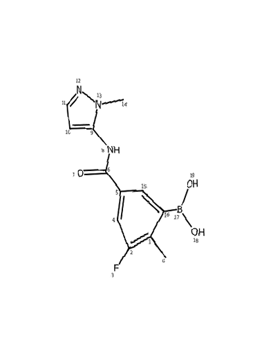 Cc1c(F)cc(C(=O)Nc2ccnn2C)cc1B(O)O